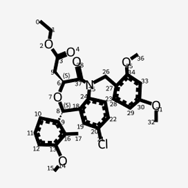 CCOC(=O)C[C@@H]1O[C@@H](c2cccc(OC)c2C)c2cc(Cl)ccc2N(Cc2ccc(OC)cc2OC)C1=O